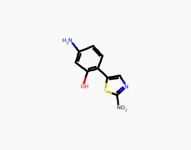 Nc1ccc(-c2cnc([N+](=O)[O-])s2)c(O)c1